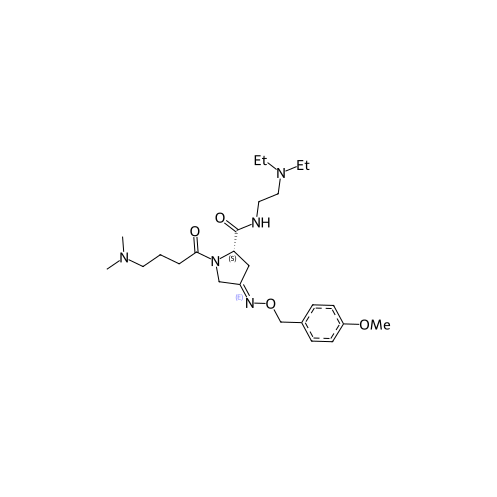 CCN(CC)CCNC(=O)[C@@H]1C/C(=N\OCc2ccc(OC)cc2)CN1C(=O)CCCN(C)C